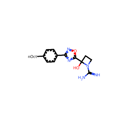 CCCCCCCCc1ccc(-c2noc(C3(O)CCN3C(=N)N)n2)cc1